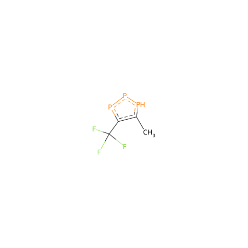 Cc1[pH]ppc1C(F)(F)F